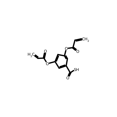 C=CC(=O)Oc1cc(OC(=O)C=C)cc(C(=O)S)c1